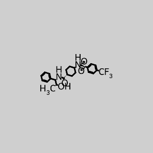 C[C@@H](O)[C@@H](NC(=O)[C@H]1CC[C@H](NS(=O)(=O)c2ccc(C(F)(F)F)cc2)CC1)c1ccccc1